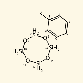 Cc1ccccc1.O1[SiH2]O[SiH2]O[SiH2]O[SiH2]1